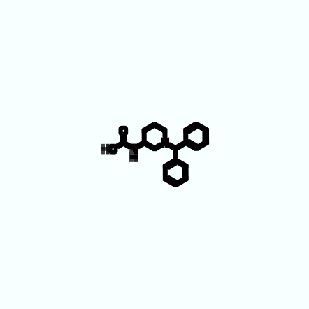 O=C(O)NC1CCCN(C(c2ccccc2)c2ccccc2)C1